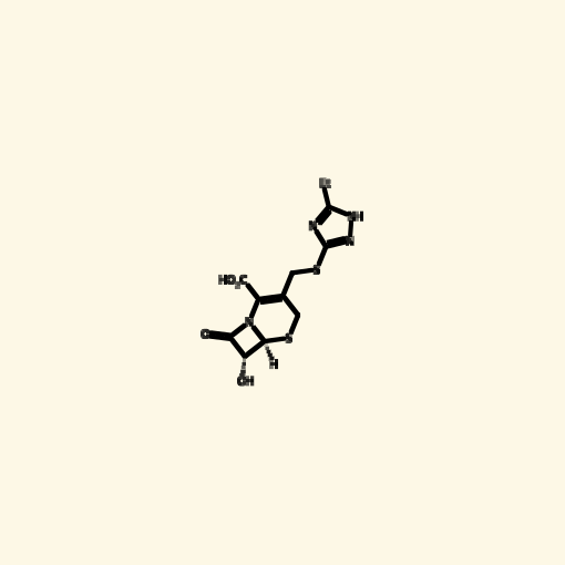 CCc1nc(SCC2=C(C(=O)O)N3C(=O)[C@@H](O)[C@@H]3SC2)n[nH]1